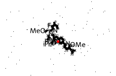 COCC[C@H](c1nccc(C)c1F)N1CC(C)N(C(=O)C(C)C)C(Cc2ccc(-c3ccc(C4CC4)c(OC)n3)cc2)(C(N)=O)C1